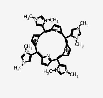 Cn1cc(-c2c3nc(c(-c4cn(C)c[n+]4C)c4ccc([nH]4)c(-c4cn(C)c[n+]4C)c4nc(c(-c5cn(C)c[n+]5C)c5ccc2[nH]5)C=C4)C=C3)[n+](C)c1